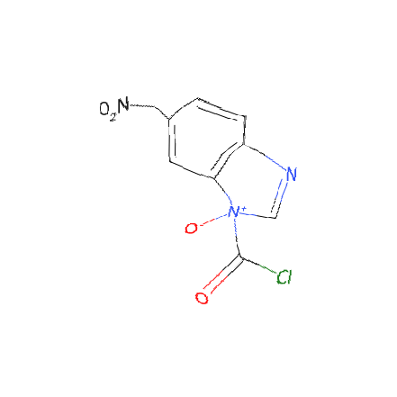 O=C(Cl)[N+]1([O-])C=Nc2ccc([N+](=O)[O-])cc21